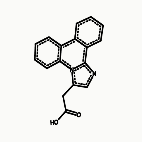 O=C(O)Cc1cnc2c3ccccc3c3ccccc3n12